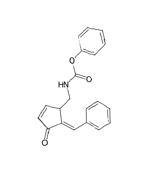 O=C(NCC1C=CC(=O)/C1=C/c1ccccc1)Oc1ccccc1